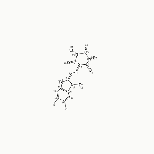 CCN1C(=O)C(=CC=C2[Te]c3cc(C)c(C)cc3N2CC)C(=O)N(CC)C1=S